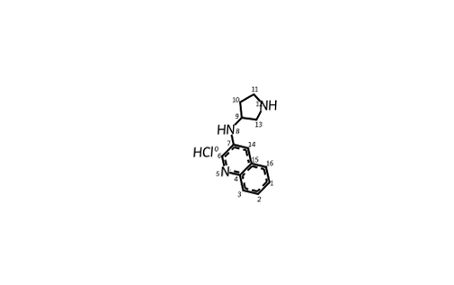 Cl.c1ccc2ncc(NC3CCNC3)cc2c1